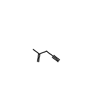 C#CCC(=C)C